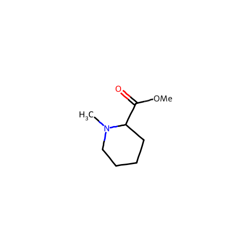 COC(=O)C1CCCCN1C